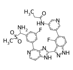 CCC(=O)Nc1cncc(-c2ccc3[nH]nc(-c4nc5c(-c6cc(F)cc(C(N)S(C)(=O)=O)c6)nccc5[nH]4)c3c2F)c1